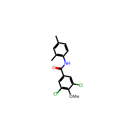 COc1c(Cl)cc(C(=O)Nc2ccc(C)cc2C)cc1Cl